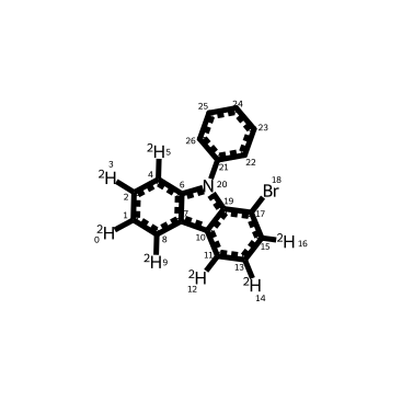 [2H]c1c([2H])c([2H])c2c(c1[2H])c1c([2H])c([2H])c([2H])c(Br)c1n2-c1ccccc1